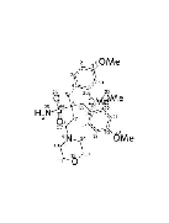 COc1ccc(CC(CCN2CCOCC2)(Cc2ccc(OC)cc2OC)S(N)(=O)=O)c(OC)c1